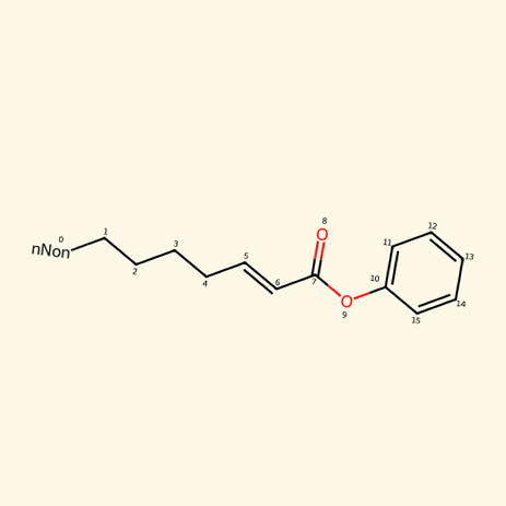 CCCCCCCCCCCCC/C=C/C(=O)Oc1ccccc1